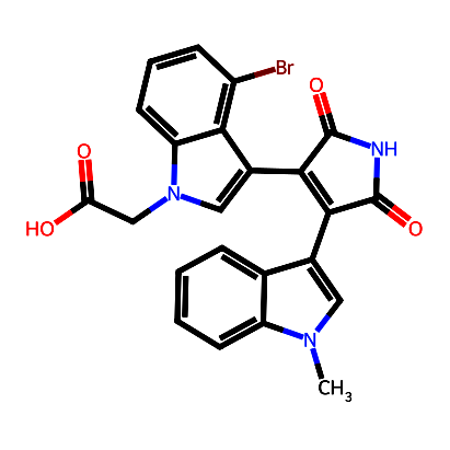 Cn1cc(C2=C(c3cn(CC(=O)O)c4cccc(Br)c34)C(=O)NC2=O)c2ccccc21